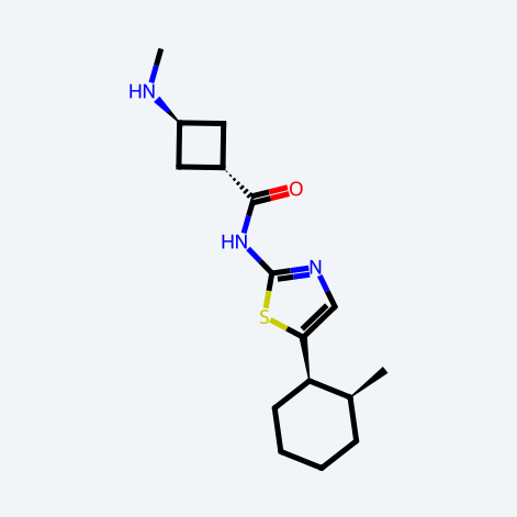 CN[C@H]1C[C@H](C(=O)Nc2ncc([C@@H]3CCCC[C@@H]3C)s2)C1